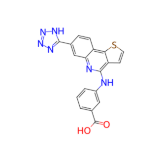 O=C(O)c1cccc(Nc2nc3cc(-c4nnn[nH]4)ccc3c3sccc23)c1